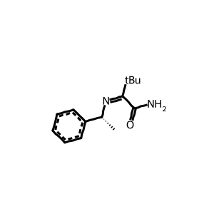 C[C@@H](/N=C(\C(N)=O)C(C)(C)C)c1ccccc1